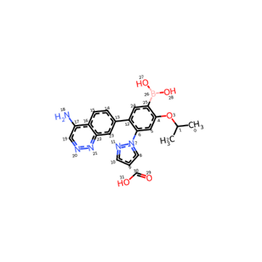 CC(C)Oc1cc(-n2cccn2)c(-c2ccc3c(N)cnnc3c2)cc1B(O)O.O=CO